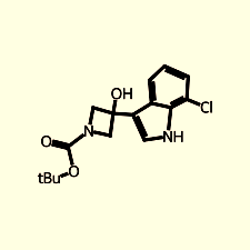 CC(C)(C)OC(=O)N1CC(O)(c2c[nH]c3c(Cl)cccc23)C1